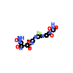 CNC(=O)N1CCc2c(-c3cc(OC)c(CN4CCC(CN5CCC6(CN(c7ccc8c(c7)CN(C7CCC(=O)NC7=O)C8=O)C6)C(F)(F)C5)CC4)c(OC)c3)cn(C)c(=O)c2C1